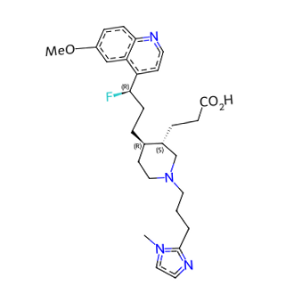 COc1ccc2nccc([C@H](F)CC[C@@H]3CCN(CCCc4nccn4C)C[C@H]3CCC(=O)O)c2c1